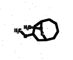 COC1CC2CCCCC(C1)N(C)C2